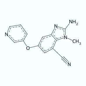 Cn1c(N)nc2cc(Oc3cccnc3)cc(C#N)c21